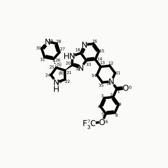 O=C(c1ccc(OC(F)(F)F)cc1)N1CCC(c2ccnc3[nH]c([C@H]4CNC[C@@H]4c4ccncc4)nc23)CC1